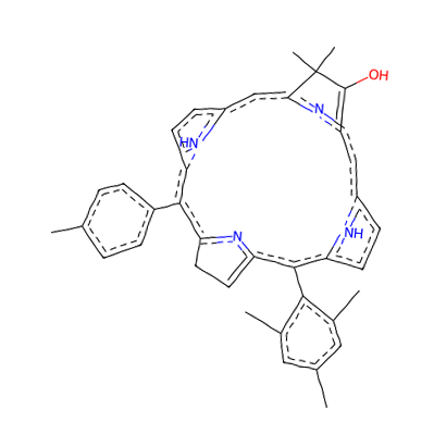 Cc1ccc(-c2c3nc(c(-c4c(C)cc(C)cc4C)c4ccc(cc5nc(cc6ccc2[nH]6)C(C)(C)C=5O)[nH]4)=CC3)cc1